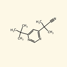 CC(C)(C)c1cc(C(C)(C)C#N)ncn1